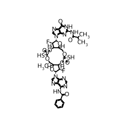 CC(C)C(=O)Nc1nc2c(ncn2[C@@H]2O[C@@H]3CO[P@](=O)(S)O[C@H]4[C@@H](F)[C@H](n5cnc6c(NC(=O)c7ccccc7)ncnc65)O[C@@H]4[C@H](C)O[P@@](=O)(S)O[C@H]3[C@H]2F)c(=O)[nH]1